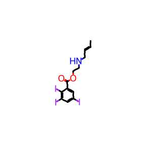 C/C=C/CNCCOC(=O)c1cc(I)cc(I)c1I